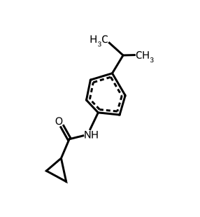 CC(C)c1ccc(NC(=O)C2CC2)cc1